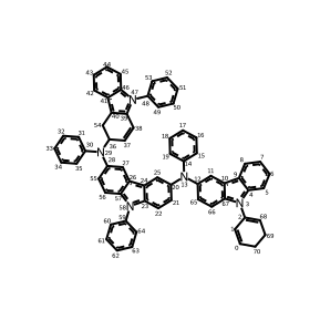 C1=CC(n2c3ccccc3c3cc(N(c4ccccc4)c4ccc5c(c4)c4cc(N(c6ccccc6)C6C=Cc7c(c8ccccc8n7-c7ccccc7)C6)ccc4n5-c4ccccc4)ccc32)=CCC1